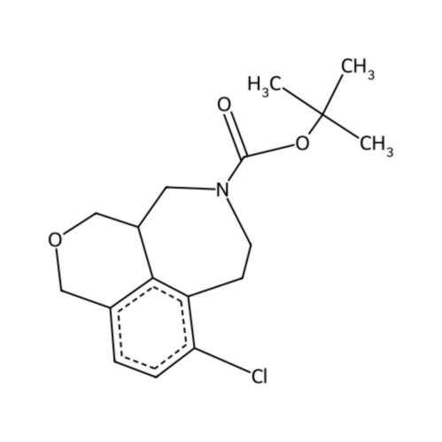 CC(C)(C)OC(=O)N1CCc2c(Cl)ccc3c2C(COC3)C1